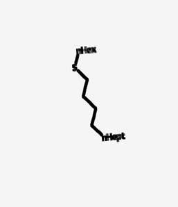 CCCCCCCCCCCSCCCCCC